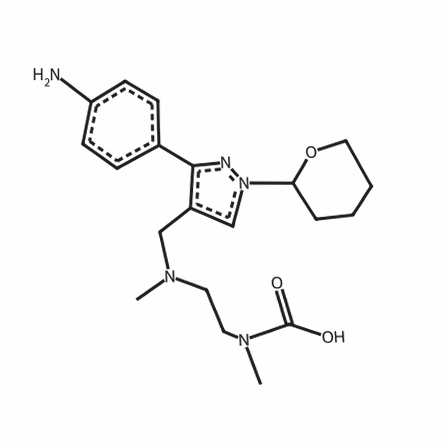 CN(CCN(C)C(=O)O)Cc1cn(C2CCCCO2)nc1-c1ccc(N)cc1